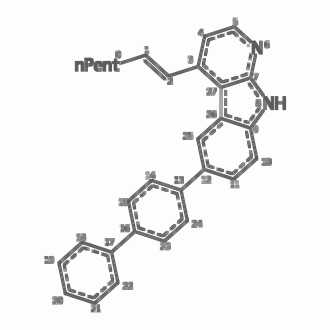 CCCCCC=Cc1ccnc2[nH]c3ccc(-c4ccc(-c5ccccc5)cc4)cc3c12